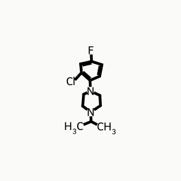 CC(C)N1CCN(c2ccc(F)cc2Cl)CC1